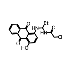 CCC(NC(=O)CCl)Nc1ccc(O)c2c1C(=O)c1ccccc1C2=O